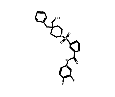 O=C(Nc1ccc(F)c(F)c1)c1cccc(S(=O)(=O)N2CCC(CO)(Cc3ccccc3)CC2)c1